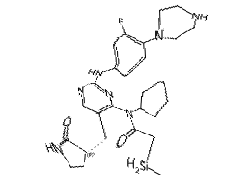 C[SiH2]CC(=O)N(c1nc(Nc2ccc(N3CCNCC3)c(F)c2)ncc1C[C@@H]1CCNC1=O)C1CCCC1